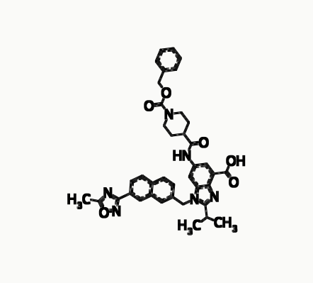 Cc1nc(-c2ccc3ccc(Cn4c(C(C)C)nc5c(C(=O)O)cc(NC(=O)C6CCN(C(=O)OCc7ccccc7)CC6)cc54)cc3c2)no1